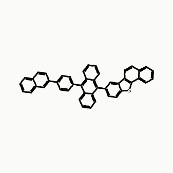 c1ccc2cc(-c3ccc(-c4c5ccccc5c(-c5ccc6sc7c8ccccc8ccc7c6c5)c5ccccc45)cc3)ccc2c1